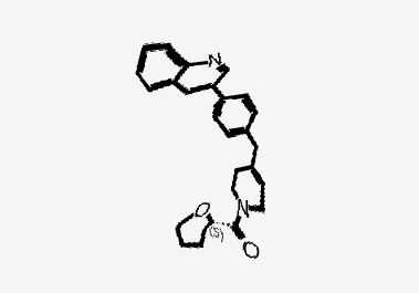 O=C([C@@H]1CCCO1)N1CC=C(Cc2ccc(-c3cnc4ccccc4c3)cc2)CC1